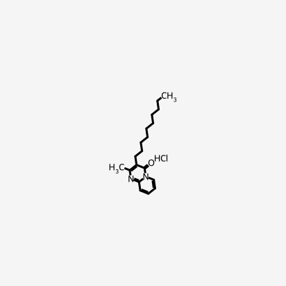 CCCCCCCCCCc1c(C)nc2ccccn2c1=O.Cl